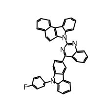 Fc1ccc(-n2c3ccccc3c3cc(-c4nc(-n5c6ccccc6c6c7ccccc7ccc65)nc5ccccc45)ccc32)cc1